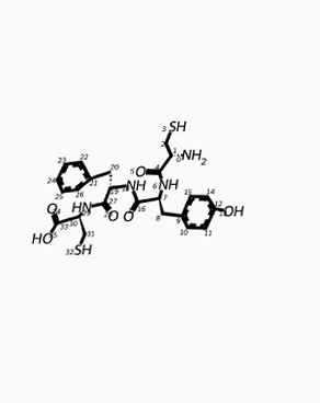 N[C@@H](CS)C(=O)N[C@@H](Cc1ccc(O)cc1)C(=O)N[C@@H](Cc1ccccc1)C(=O)N[C@@H](CS)C(=O)O